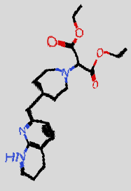 CCOC(=O)C(C(=O)OCC)N1CCC(Cc2ccc3c(n2)NCCC3)CC1